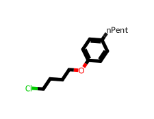 CCCCCc1ccc(OCCCCCl)cc1